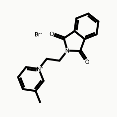 Cc1ccc[n+](CCN2C(=O)c3ccccc3C2=O)c1.[Br-]